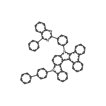 c1ccc(-c2ccc(-n3c4ccccc4c4c5c6c7ccccc7c7ccccc7c6n(-c6cccc(-c7nc(-c8ccccc8)c8ccccc8n7)c6)c5ccc43)cc2)cc1